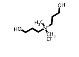 C[N+](C)(CCCO)CCCO.[Cl-]